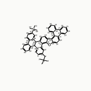 CC(C)(C)Cc1cc[n+]2c(c1)-c1c(ccc3c1oc1ccc4c5ccccc5c5ccccc5c4c13)C1C2c2ccccc2-c2ccc([Si](C)(C)C)c[n+]21